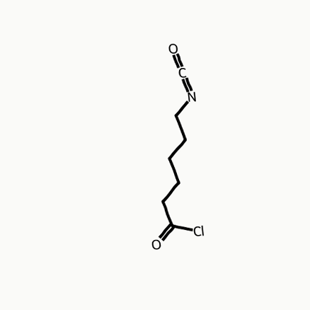 O=C=NCCCCCC(=O)Cl